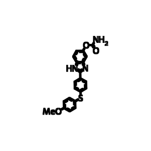 COc1ccc(Sc2ccc(-c3nc4cc(OC(N)=O)ccc4[nH]3)cc2)cc1